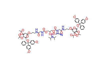 COc1ccc(C(OC[C@H]2O[C@@H](OCCCNC(=O)CNC(=O)OCC(COC(=O)NCC(=O)NCCCO[C@H]3C[C@@H](OC(C)=O)[C@@H](OC(C)=O)[C@@H](COC(c4ccccc4)(c4ccc(OC)cc4)c4ccc(OC)cc4)O3)OP(OCCC#N)N(C(C)C)C(C)C)C[C@@H](OC(C)=O)C2OC(C)=O)(c2ccccc2)c2ccc(OC)cc2)cc1